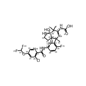 CC1(C)C(NC(=O)O)=N[C@](C)(c2nc(NC(=O)c3ncc(OC(F)F)cc3Cl)ccc2F)[C@@H]2CCN[S@@]21O